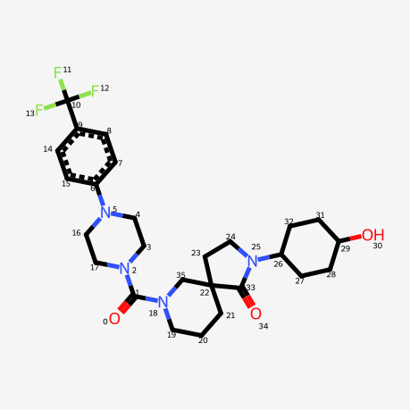 O=C(N1CCN(c2ccc(C(F)(F)F)cc2)CC1)N1CCCC2(CCN(C3CCC(O)CC3)C2=O)C1